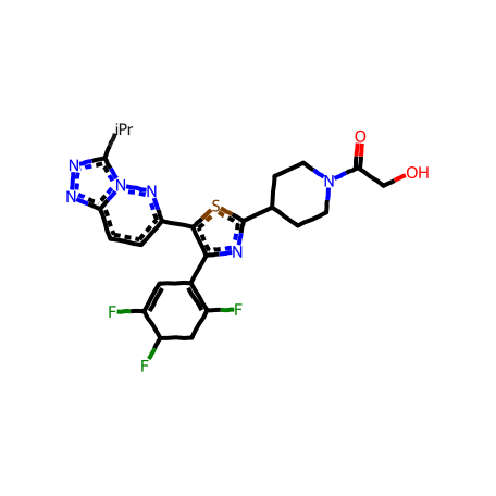 CC(C)c1nnc2ccc(-c3sc(C4CCN(C(=O)CO)CC4)nc3C3=C(F)CC(F)C(F)=C3)nn12